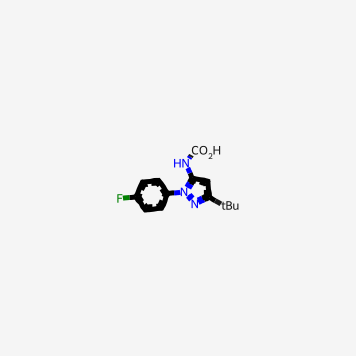 CC(C)(C)c1cc(NC(=O)O)n(-c2ccc(F)cc2)n1